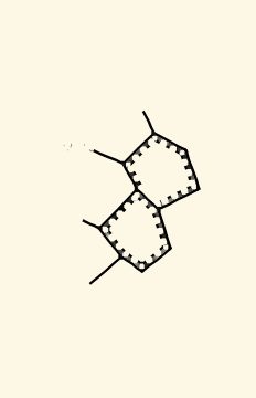 CNc1c(C)ccc2ccc(C)c(C)c12